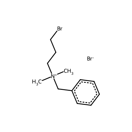 C[N+](C)(CCCBr)Cc1ccccc1.[Br-]